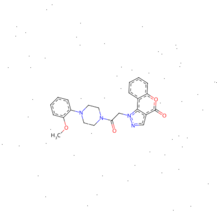 COc1ccccc1N1CCN(C(=O)Cn2ncc3c(=O)oc4ccccc4c32)CC1